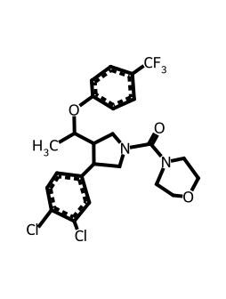 CC(Oc1ccc(C(F)(F)F)cc1)C1CN(C(=O)N2CCOCC2)CC1c1ccc(Cl)c(Cl)c1